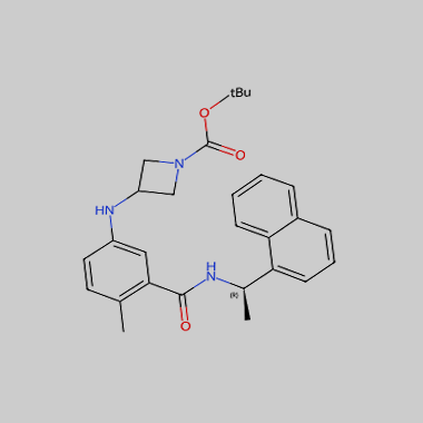 Cc1ccc(NC2CN(C(=O)OC(C)(C)C)C2)cc1C(=O)N[C@H](C)c1cccc2ccccc12